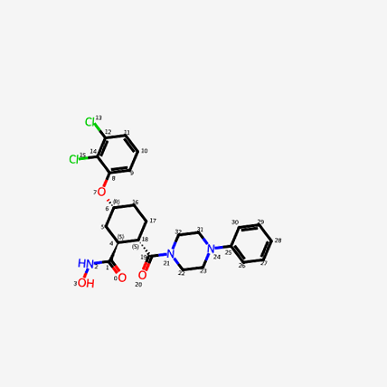 O=C(NO)[C@H]1C[C@H](Oc2cccc(Cl)c2Cl)CC[C@@H]1C(=O)N1CCN(c2ccccc2)CC1